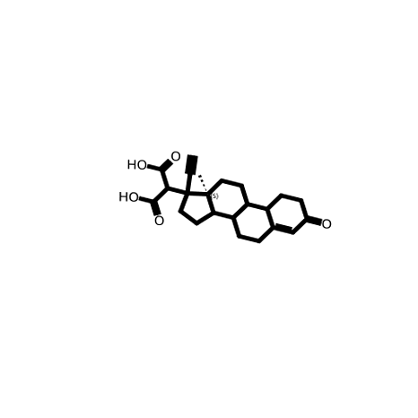 C#CC1(C(C(=O)O)C(=O)O)CCC2C3CCC4=CC(=O)CCC4C3CC[C@@]21C